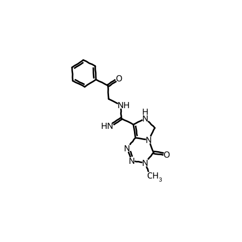 CN1N=NC2=C(C(=N)NCC(=O)c3ccccc3)NCN2C1=O